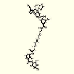 CCC1c2c(C#N)ncn2-c2cnc(Nc3ccc(C(=O)NCCOCCOCCOCCC(=O)Nc4cccc5c4CN(C4CCC(=O)NC4=O)C5=O)cc3OC)nc2N1C1CCCC1